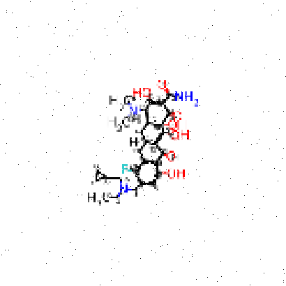 CCN(Cc1cc(O)c2c(c1F)C[C@H]1C[C@H]3[C@H](N(C)C)C(O)=C(C(N)=O)C(=O)[C@@]3(O)C(O)=C1C2=O)CC1CC1